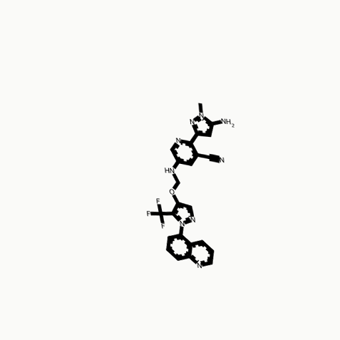 Cn1nc(-c2ncc(NCOc3cnn(-c4cccc5ncccc45)c3C(F)(F)F)cc2C#N)cc1N